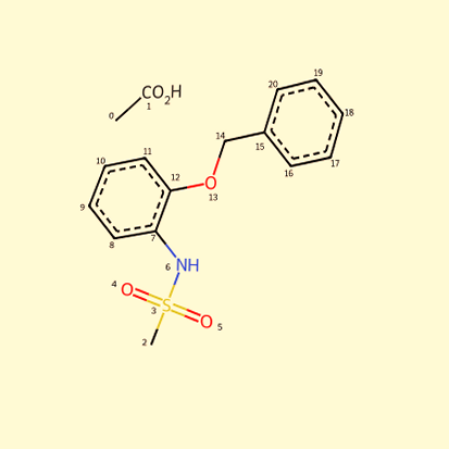 CC(=O)O.CS(=O)(=O)Nc1ccccc1OCc1ccccc1